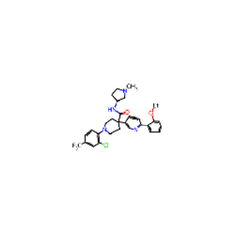 CCOc1ccccc1-c1ccc(C2(C(=O)N[C@H]3CCN(C)C3)CCN(c3ccc(C(F)(F)F)cc3Cl)CC2)cn1